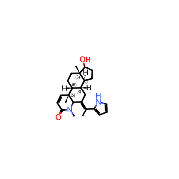 CC(=C1C[C@@H]2[C@@H](CC[C@]3(C)C(O)CC[C@@H]23)[C@@]2(C)C=CC(=O)N(C)C12)c1ccc[nH]1